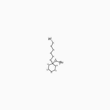 CC(C)CCCCCCC1(OC(C)(C)C)CCCCC1